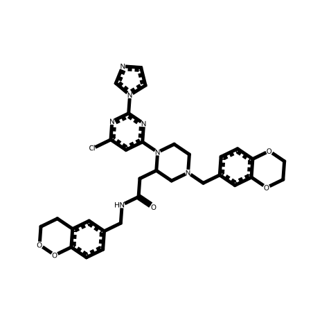 O=C(CC1CN(Cc2ccc3c(c2)OCCO3)CCN1c1cc(Cl)nc(-n2ccnc2)n1)NCc1ccc2c(c1)CCOO2